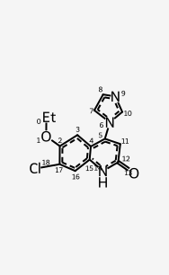 CCOc1cc2c(-n3ccnc3)cc(=O)[nH]c2cc1Cl